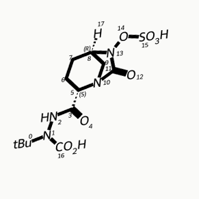 CC(C)(C)N(NC(=O)[C@@H]1CC[C@@H]2CN1C(=O)N2OS(=O)(=O)O)C(=O)O